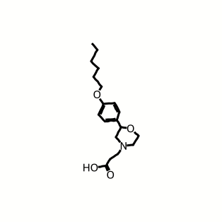 CCCCCCOc1ccc(C2CN(CCC(=O)O)CCO2)cc1